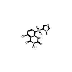 Cn1cncc1S(=O)(=O)c1ccc(Cl)c2c(=O)n(O)c(=O)[nH]c12